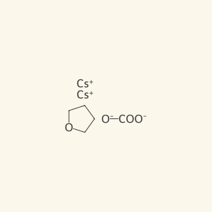 C1CCOC1.O=C([O-])[O-].[Cs+].[Cs+]